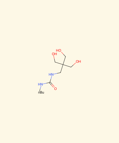 CCCCNC(=O)NCC(CO)(CO)CO